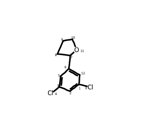 Clc1cc(Cl)cc([C]2CCCO2)c1